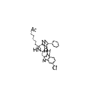 CC(=O)CCCCC[C@H](NC(=O)Cc1nc2cc(Cl)ccc2[nH]1)c1ncc(-c2ccccc2)[nH]1